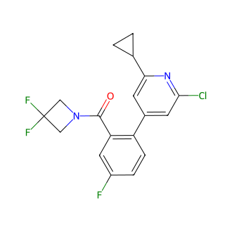 O=C(c1cc(F)ccc1-c1cc(Cl)nc(C2CC2)c1)N1CC(F)(F)C1